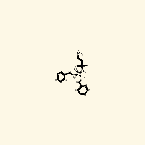 CC(C)(CCN)OP(=O)(OCc1ccccc1)OCc1ccccc1